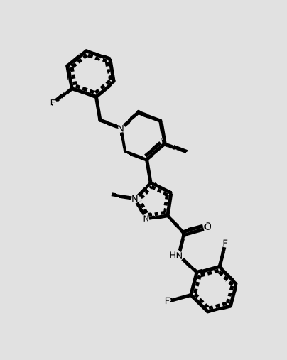 CC1=C(c2cc(C(=O)Nc3c(F)cccc3F)nn2C)CN(Cc2ccccc2F)CC1